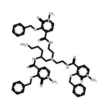 Cn1ccc(C(=O)NCCN(CCNC(=O)c2ccn(C)c(=O)c2OCc2ccccc2)CC(CCCC(=O)O)NC(=O)c2ccn(C)c(=O)c2OCc2ccccc2)c(OCc2ccccc2)c1=O